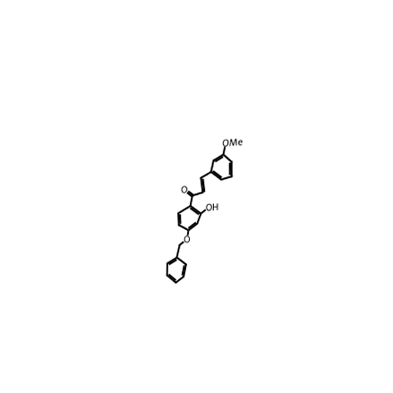 COc1cccc(/C=C/C(=O)c2ccc(OCc3ccccc3)cc2O)c1